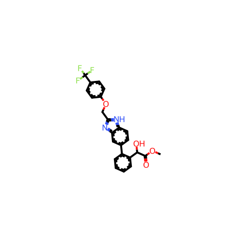 COC(=O)C(O)c1ccccc1-c1ccc2[nH]c(COc3ccc(C(F)(F)F)cc3)nc2c1